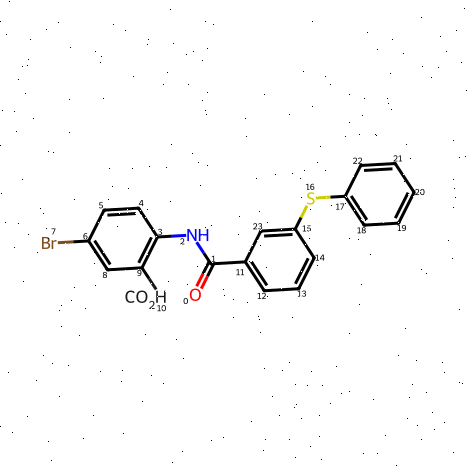 O=C(Nc1ccc(Br)cc1C(=O)O)c1cccc(Sc2ccccc2)c1